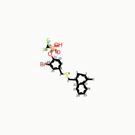 Cc1ccc(CSCc2ccc(OP(=O)(O)C(F)F)c(Br)c2)c2ccccc12